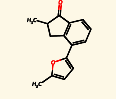 Cc1ccc(-c2cccc3c2CC(C)C3=O)o1